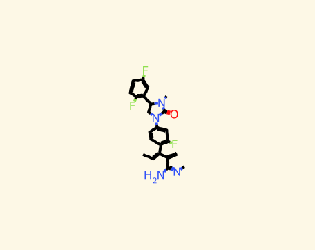 C=C(/C(=C/C)c1ccc(N2CC(c3cc(F)ccc3F)N(C)C2=O)cc1F)/C(N)=N\C